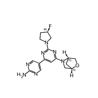 Nc1ncc(-c2cc(N3C[C@@H]4C[C@H]3CO4)nc(N3CC[C@@H](F)C3)n2)cn1